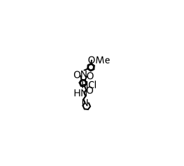 COc1cccc(CN2C(=O)c3ccc(C(=O)NCCN4CCCCC4)cc3C2=O)c1.Cl